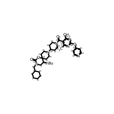 CCCCC1CN(CC2CCCCC2)C(=O)OC12CCN(C1CCN(C(=O)c3c(C)nc(Oc4ccncc4)nc3C)CC1)CC2